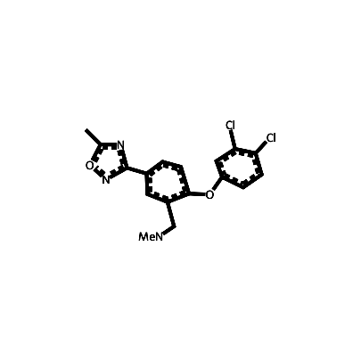 CNCc1cc(-c2noc(C)n2)ccc1Oc1ccc(Cl)c(Cl)c1